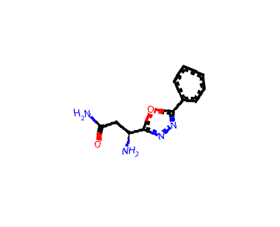 NC(=O)C[C@H](N)c1nnc(-c2ccccc2)o1